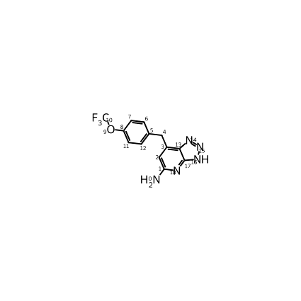 Nc1cc(Cc2ccc(OC(F)(F)F)cc2)c2nn[nH]c2n1